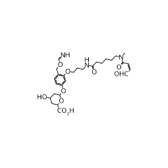 CN(CCCCCC(=O)NCCCOc1cc(OC2CC(O)CC(C(=O)O)O2)ccc1COC=N)C(=O)/C=C\C=O